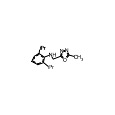 Cc1nnc(CNc2c(C(C)C)cccc2C(C)C)o1